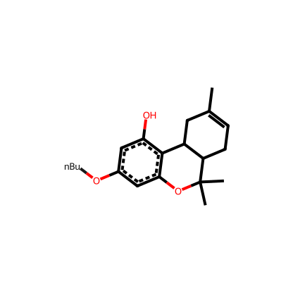 CCCCOc1cc(O)c2c(c1)OC(C)(C)C1CC=C(C)CC21